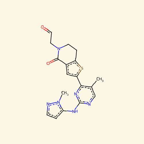 Cc1cnc(Nc2ccnn2C)nc1-c1cc2c(s1)CCN(CC=O)C2=O